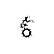 NC/C(=C\F)Cn1ncn(-c2ccccccccc2)c1=O